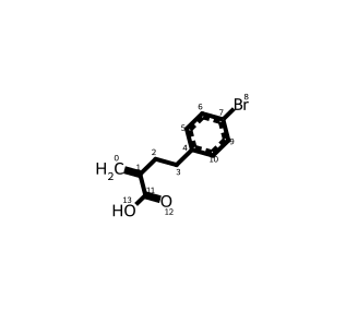 C=C(CCc1ccc(Br)cc1)C(=O)O